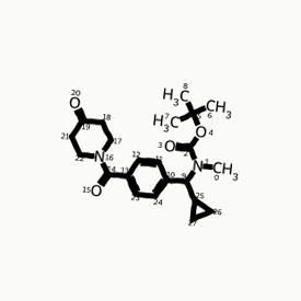 CN(C(=O)OC(C)(C)C)C(c1ccc(C(=O)N2CCC(=O)CC2)cc1)C1CC1